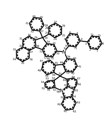 c1ccc(-c2cccc(N(c3ccc4c(c3)C(c3ccccc3)(c3ccccc3)c3ccc5ccccc5c3-4)c3cccc4c3-c3ccccc3C43c4ccccc4-n4c5ccccc5c5cccc3c54)c2)cc1